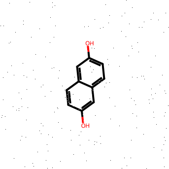 Oc1ccc2cc(O)c[c]c2c1